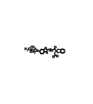 C[N+](C)(C)C1CN(c2ccc3sc(CNC(=O)C4(CC(=O)[O-])Cc5ccccc5C4)nc3c2)C1